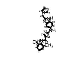 Cc1cccc(Cl)c1NC(=O)c1cnc(Nc2ccc3[nH]c(Cn4ccnc4)nc3c2)s1